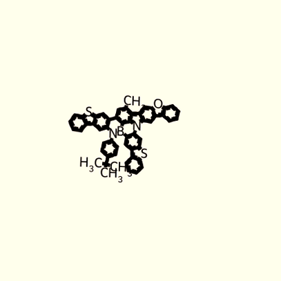 Cc1cc2c3c4c1c1cc5oc6ccccc6c5cc1n4-c1cc4sc5ccccc5c4cc1B3N(c1ccc(C(C)(C)C)cc1)c1cc3c(cc1-2)sc1ccccc13